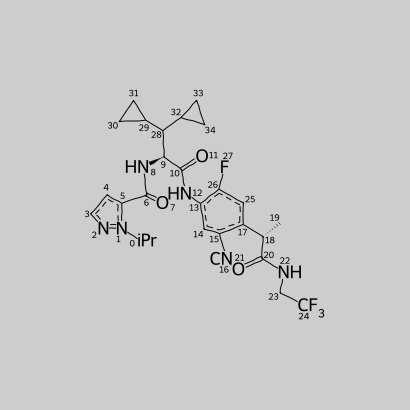 CC(C)n1nccc1C(=O)N[C@H](C(=O)Nc1cc(C#N)c([C@H](C)C(=O)NCC(F)(F)F)cc1F)C(C1CC1)C1CC1